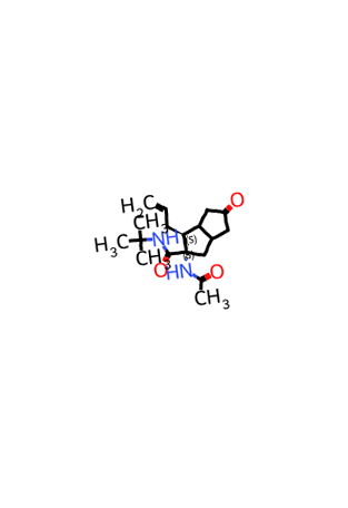 C=CC[C@H]1C2CC(=O)CC2C[C@@]1(NC(C)=O)C(=O)NC(C)(C)C